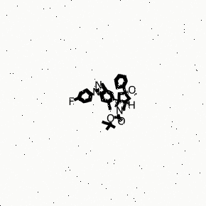 CO[C@]1(c2ccccc2)C[C@@H]2CN(C(=O)OC(C)(C)C)C[C@]2(c2cc3cnn(-c4ccc(F)cc4)c3cc2C)C1